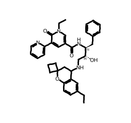 CCc1ccc2c(c1)C(NC[C@@H](O)[C@H](Cc1ccccc1)NC(=O)c1cc(-c3ccccn3)c(=O)n(CC)c1)CC1(CCC1)O2